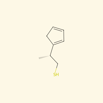 C[C@@H](CS)C1=CC=CC1